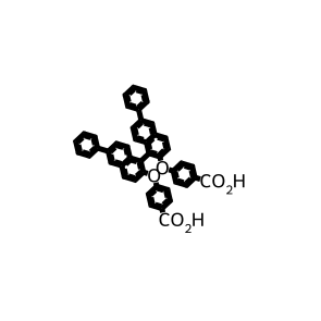 O=C(O)c1ccc(Oc2ccc3cc(-c4ccccc4)ccc3c2-c2c(Oc3ccc(C(=O)O)cc3)ccc3cc(-c4ccccc4)ccc23)cc1